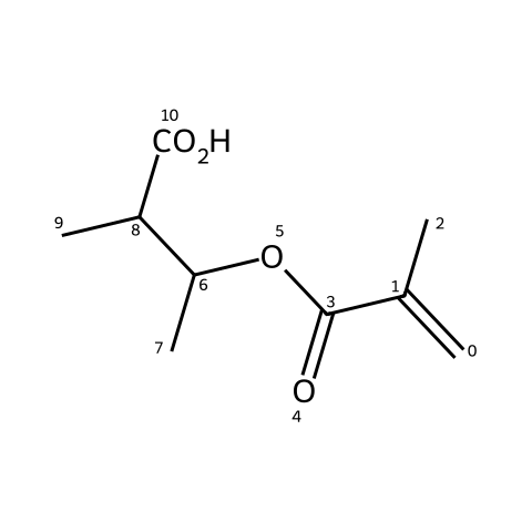 C=C(C)C(=O)OC(C)C(C)C(=O)O